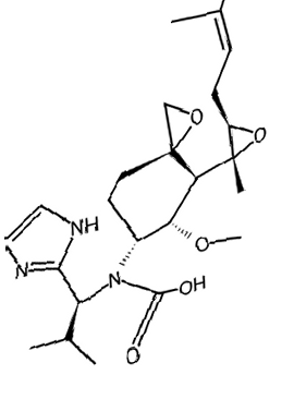 CO[C@@H]1[C@H](N(C(=O)O)[C@H](c2ncc[nH]2)C(C)C)CC[C@]2(CO2)[C@H]1[C@@]1(C)O[C@@H]1CC=C(C)C